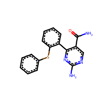 NC(=O)c1cnc(N)nc1-c1ccccc1Sc1ccccc1